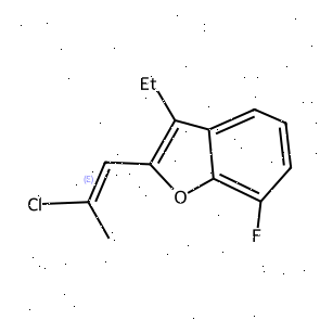 CCc1c(/C=C(\C)Cl)oc2c(F)cccc12